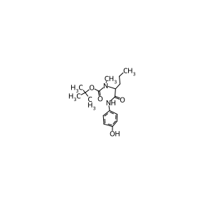 CCCC(C(=O)Nc1ccc(O)cc1)N(C)C(=O)OC(C)(C)C